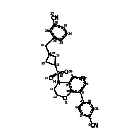 N#Cc1ccc(-c2cncc3c2OCCN3S(=O)(=O)C2CN(Cc3cccc(C#N)c3)C2)cc1